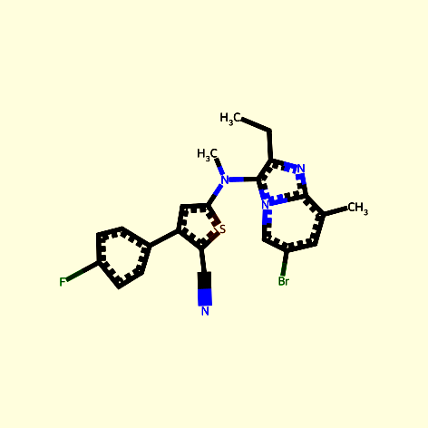 CCc1nc2c(C)cc(Br)cn2c1N(C)c1cc(-c2ccc(F)cc2)c(C#N)s1